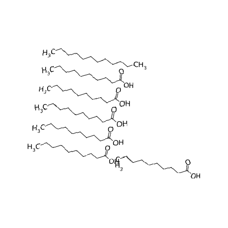 CCCCCCCCCC(=O)O.CCCCCCCCCC(=O)O.CCCCCCCCCC(=O)O.CCCCCCCCCC(=O)O.CCCCCCCCCC(=O)O.CCCCCCCCCC(=O)O.CCCCCCCCCCCC